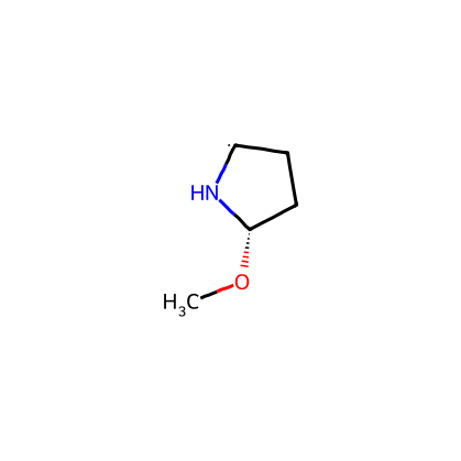 CO[C@H]1CC[CH]N1